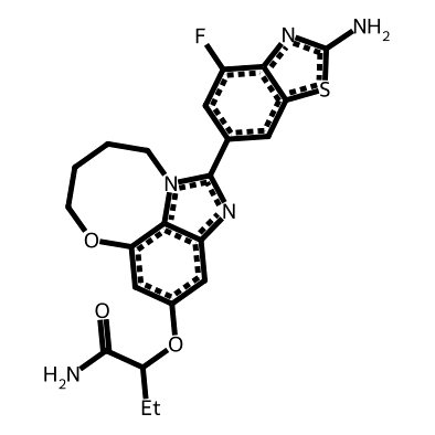 CCC(Oc1cc2c3c(c1)nc(-c1cc(F)c4nc(N)sc4c1)n3CCCCO2)C(N)=O